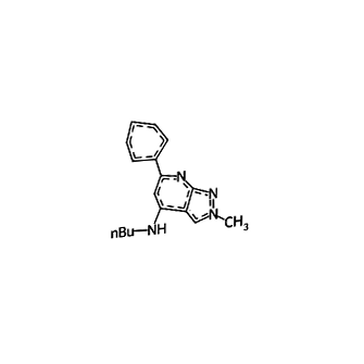 CCCCNc1cc(-c2ccccc2)nc2nn(C)cc12